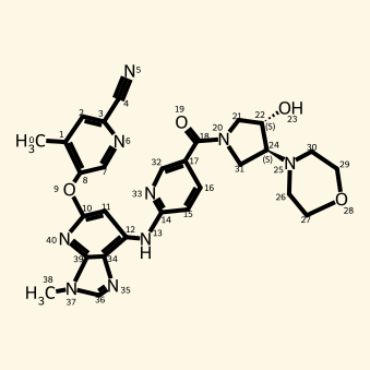 Cc1cc(C#N)ncc1Oc1cc(Nc2ccc(C(=O)N3C[C@H](O)[C@@H](N4CCOCC4)C3)cn2)c2ncn(C)c2n1